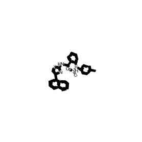 Cc1ccc(N(c2ccccc2C(=O)Nc2nc(-c3cccc4ccccc34)cs2)[SH](=O)=O)cc1